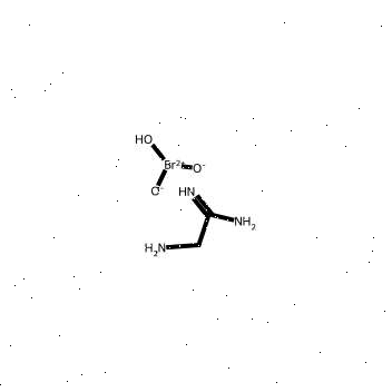 N=C(N)CN.[O-][Br+2]([O-])O